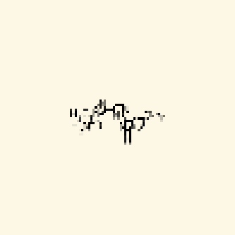 CC(C)Oc1ccc2[nH]nc(-c3nccc(-c4cn(C(C)C(N)=O)cn4)n3)c2c1